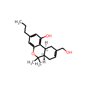 CCCc1cc(O)c2c(c1)OC(C)(C)[C@H]1CC=C(CO)C[C@H]21